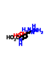 NN/N=C(\N)CCC1CCC2CNC(C(=O)O)C(O)(O)C2C1